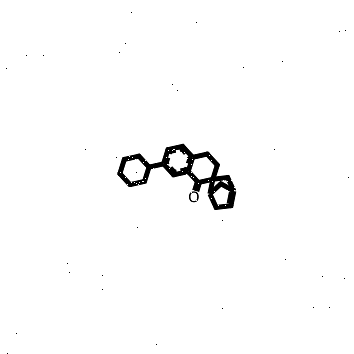 O=C1c2cc(C3CCCCC3)ccc2CCC12CC1=CCC2C1